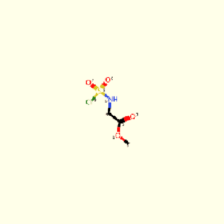 COC(=O)CNS(=O)(=O)Cl